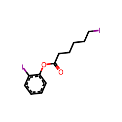 O=C(CCCCCI)Oc1ccccc1I